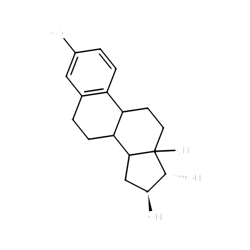 CC12CCC3c4ccc(O)cc4CCC3C1C[C@H](O)[C@H]2O